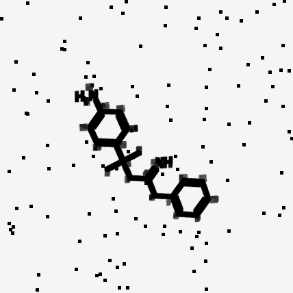 CC(C)(CC(=N)Cc1ccccc1)c1ccc(N)cc1